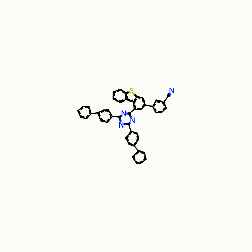 N#Cc1cccc(-c2cc(-c3nc(-c4ccc(-c5ccccc5)cc4)nc(-c4ccc(-c5ccccc5)cc4)n3)c3c(c2)sc2ccccc23)c1